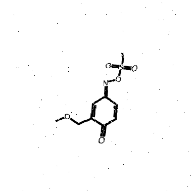 COCC1=CC(=NOS(C)(=O)=O)C=CC1=O